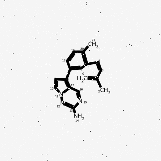 C=C(C)/C=C\c1cc(-c2ccn3nc(N)ncc23)ccc1C